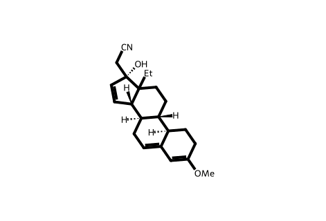 CCC12CC[C@H]3[C@@H](CC=C4C=C(OC)CC[C@@H]43)[C@@H]1C=C[C@@]2(O)CC#N